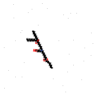 CCCCCC#CCOC(=O)CCCCCCCN(CCCO)CCCCCCCC(=O)OC(CCCCCCCC)CCCCCCCC